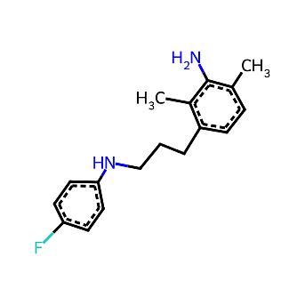 Cc1ccc(CCCNc2ccc(F)cc2)c(C)c1N